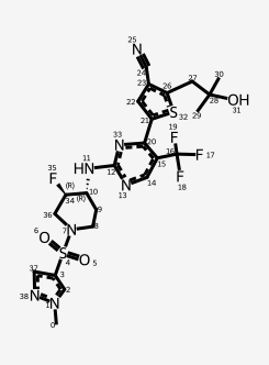 Cn1cc(S(=O)(=O)N2CC[C@@H](Nc3ncc(C(F)(F)F)c(-c4cc(C#N)c(CC(C)(C)O)s4)n3)[C@H](F)C2)cn1